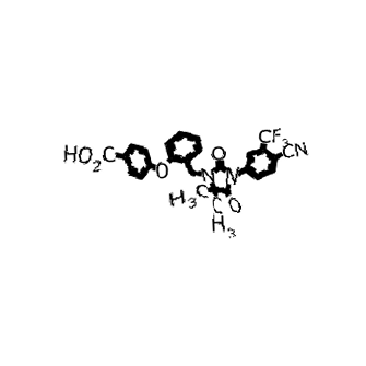 CC1(C)C(=O)N(c2ccc(C#N)c(C(F)(F)F)c2)C(=O)N1Cc1ccccc1Oc1ccc(C(=O)O)cc1